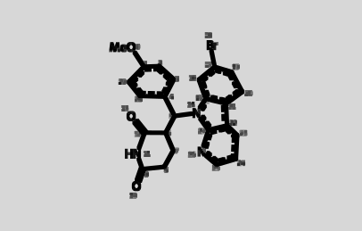 COc1ccc(C(C2CCC(=O)NC2=O)n2c3cc(Br)ccc3c3cccnc32)cc1